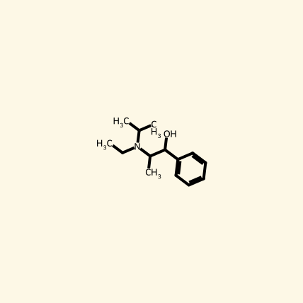 CCN(C(C)C)C(C)C(O)c1ccccc1